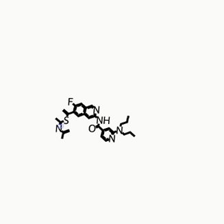 C=C(C)/N=C(/C)SC(=C)c1cc2cc(NC(=O)c3ccnc(N(CCC)CCC)c3)ncc2cc1F